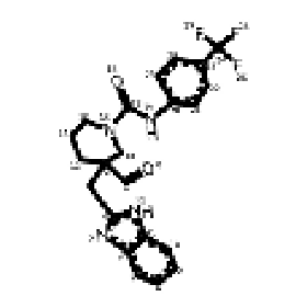 O=CC1(Cc2nc3ccccc3[nH]2)CCCN(C(=O)Nc2ccc(C(F)(F)F)cc2)C1